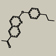 CCCc1ccc(Oc2ccc3cc(C(C)=O)ccc3n2)cc1